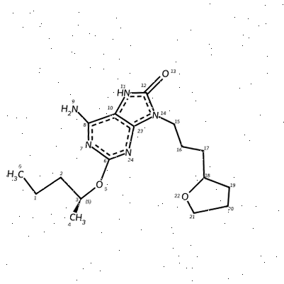 CCC[C@H](C)Oc1nc(N)c2[nH]c(=O)n(CCCC3CCCO3)c2n1